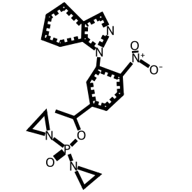 CC(OP(=O)(N1CC1)N1CC1)c1ccc([N+](=O)[O-])c(-n2ncc3ccccc32)c1